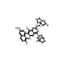 CCc1c(F)ccc2cc(O)cc(-c3ccc4c(N5CC6CCC(F)(C5)N6)nc(OC[C@@]56CCCN5C[C@H](F)C6)nc4c3F)c12